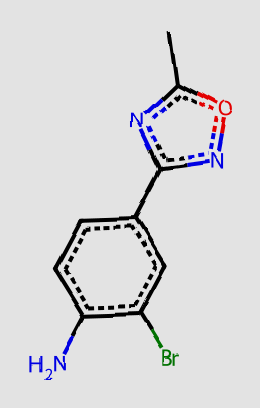 Cc1nc(-c2ccc(N)c(Br)c2)no1